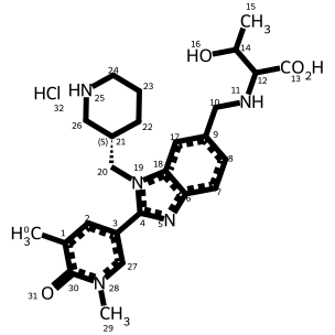 Cc1cc(-c2nc3ccc(CNC(C(=O)O)C(C)O)cc3n2C[C@H]2CCCNC2)cn(C)c1=O.Cl